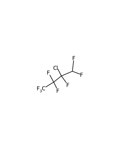 FC(F)C(F)(Cl)C(F)(F)C(F)(F)F